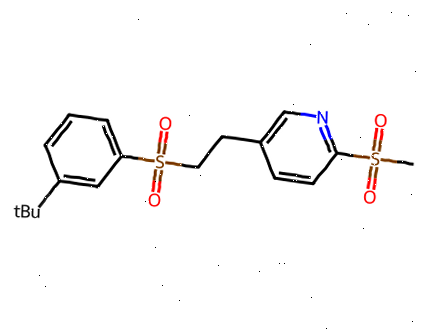 CC(C)(C)c1cccc(S(=O)(=O)CCc2ccc(S(C)(=O)=O)nc2)c1